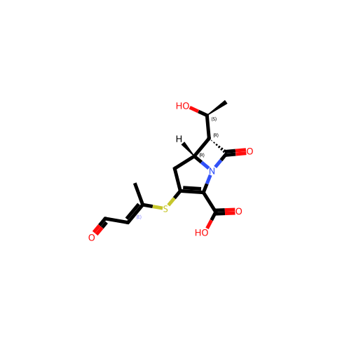 C/C(=C\C=O)SC1=C(C(=O)O)N2C(=O)[C@@H]([C@H](C)O)[C@H]2C1